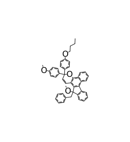 CCCCOc1ccc(C2(c3ccc(OC)cc3)C=Cc3c4c(c5ccccc5c3O2)-c2ccccc2C4(Cc2ccccc2)OC)cc1